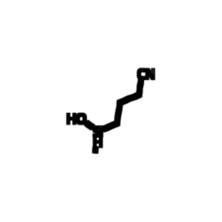 C[SiH](O)CCCC#N